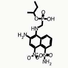 CCC(C)OP(=O)(O)CNc1c(N)cc([N+](=O)[O-])c2c(S(N)(=O)=O)cccc12